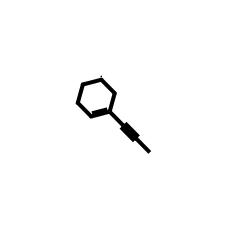 CC#CC1=CCC[CH]C1